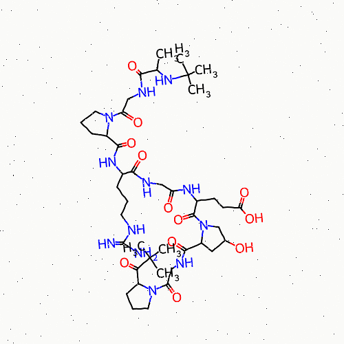 CC(NC(C)(C)C)C(=O)NCC(=O)N1CCCC1C(=O)NC(CCCNC(=N)N)C(=O)NCC(=O)NC(CCC(=O)O)C(=O)N1CC(O)CC1C(=O)NCC(=O)N1CCCC1C(=O)C(C)(C)C